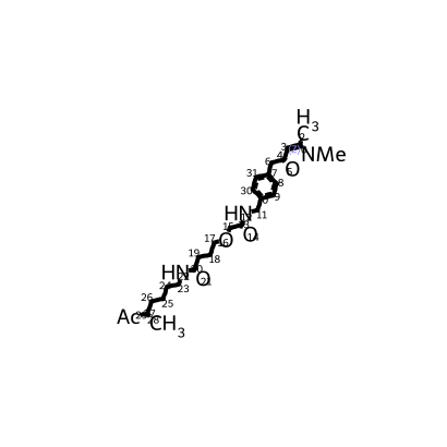 CN/C(C)=C\C(=O)Cc1ccc(CNC(=O)COCCCC(=O)NCCCCC(C)C(C)=O)cc1